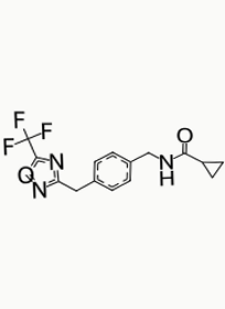 O=C(NCc1ccc(Cc2noc(C(F)(F)F)n2)cc1)C1CC1